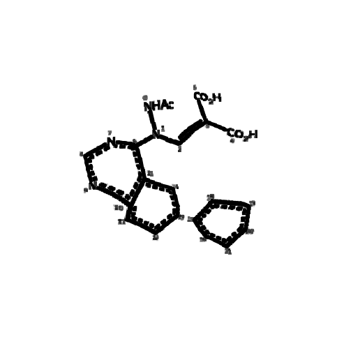 CC(=O)NN(C=C(C(=O)O)C(=O)O)c1ncnc2ccccc12.c1ccccc1